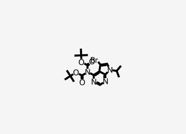 CC(C)n1cc(Br)c2c(N(C(=O)OC(C)(C)C)C(=O)OC(C)(C)C)ncnc21